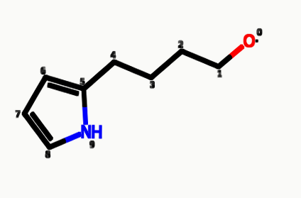 [O]CCCCc1ccc[nH]1